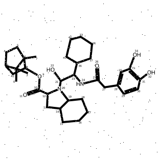 CC1(C)C2CCC1(C)C(OC(=O)C1CC3CCCCC3N1C(O)C(NC(=O)Cc1ccc(O)c(O)c1)C1CCCCC1)C2